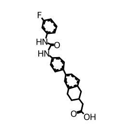 O=C(O)CC1CCc2cc(-c3ccc(NC(=O)Nc4cccc(F)c4)cc3)ccc2C1